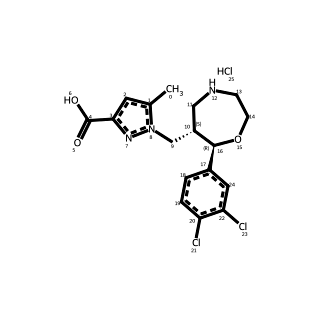 Cc1cc(C(=O)O)nn1C[C@@H]1CNCCO[C@H]1c1ccc(Cl)c(Cl)c1.Cl